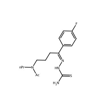 CCCN(CCCC(=NNC(N)=S)c1ccc(F)cc1)C(C)=O